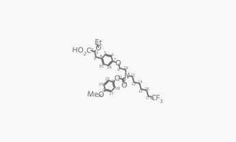 CCOC(Cc1ccc(OCCN(CCCCCCC(F)(F)F)C(=O)Oc2ccc(OC)cc2)cc1)C(=O)O